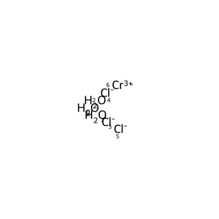 O.O.O.[Cl-].[Cl-].[Cl-].[Cr+3]